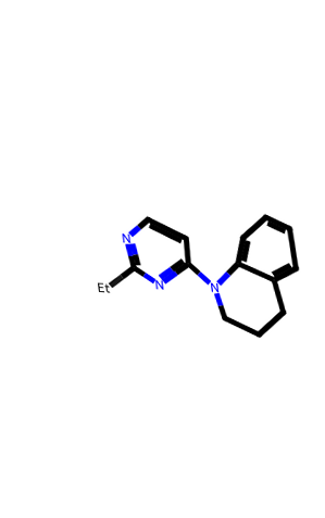 CCc1nccc(N2CCCc3ccccc32)n1